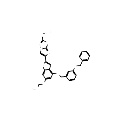 CSc1nn2cc(-c3cc4c(OCc5cccc(OCc6ccccc6)c5)cc(OCO)cc4o3)nc2s1